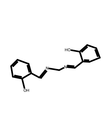 Oc1ccccc1C=NCN=Cc1ccccc1O